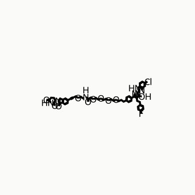 O=C(COCCOCCOCCOCCCc1ccc(-c2nn(-c3nc4cc(Cl)ccc4[nH]3)c(O)c2CCc2ccc(F)cc2)cc1)NCCOCC#Cc1ccc2c(c1)CN(C1CCC(=O)NC1=O)C2=O